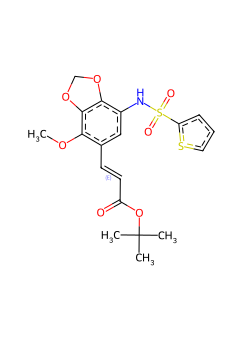 COc1c(/C=C/C(=O)OC(C)(C)C)cc(NS(=O)(=O)c2cccs2)c2c1OCO2